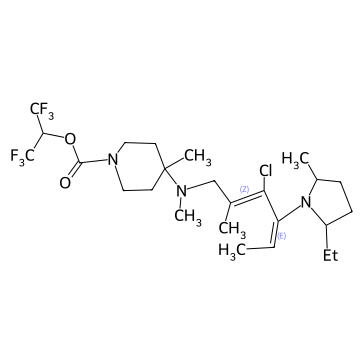 C/C=C(\C(Cl)=C(/C)CN(C)C1(C)CCN(C(=O)OC(C(F)(F)F)C(F)(F)F)CC1)N1C(C)CCC1CC